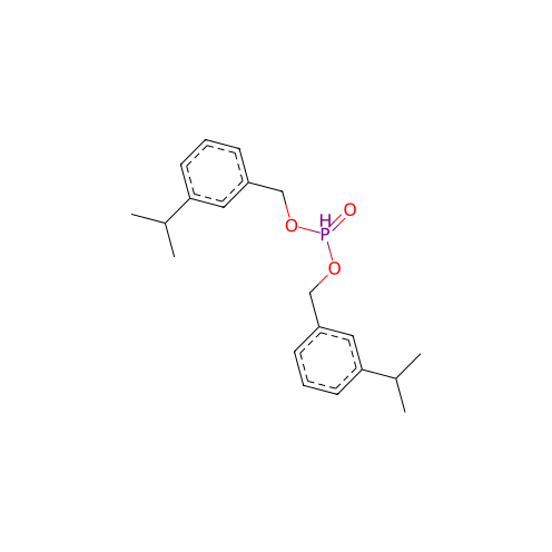 CC(C)c1cccc(CO[PH](=O)OCc2cccc(C(C)C)c2)c1